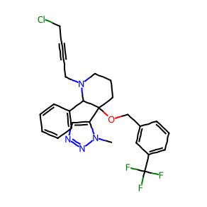 Cn1nncc1C1(OCc2cccc(C(F)(F)F)c2)CCCN(CC#CCCl)C1c1ccccc1